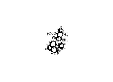 Cc1nocc1[C@H](C(=O)O)[C@@H](CCC(F)(F)F)C(=O)NC1N=Cc2cccc3c2N(C1=O)[C@@H](c1ccccc1)C(F)(F)CO3